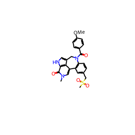 COc1ccc(C(=O)N2Cc3c[nH]c4c(=O)n(C)cc(c34)-c3cc(CS(C)(=O)=O)ccc32)cc1